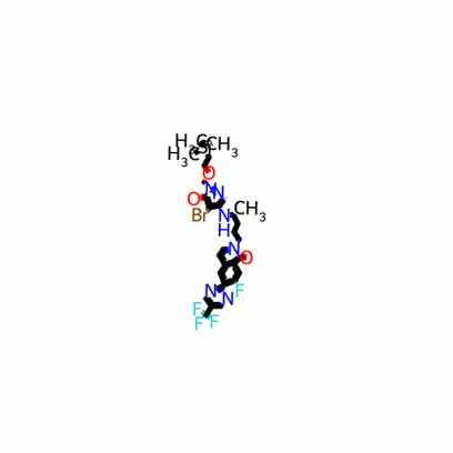 CC(CCCn1ccc2cc(-c3ncc(C(F)(F)F)cn3)c(F)cc2c1=O)Nc1cnn(COCC[Si](C)(C)C)c(=O)c1Br